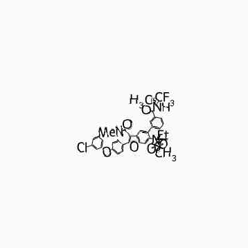 CCN(c1cc2oc(-c3ccc(Oc4cccc(Cl)c4)cc3)c(C(=O)NC)c2cc1-c1cccc(C(=O)N[C@@H](C)C(F)(F)F)c1)S(C)(=O)=O